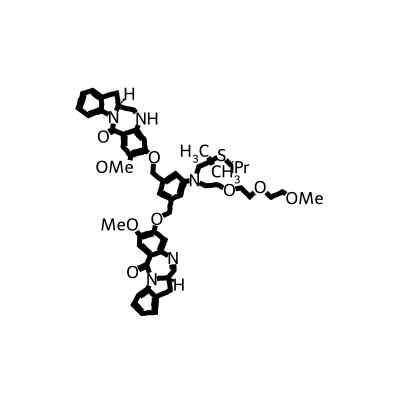 COCCOCCOCCN(CC(C)(C)SC(C)C)c1cc(COc2cc3c(cc2OC)C(=O)N2c4ccccc4C[C@H]2C=N3)cc(COc2cc3c(cc2OC)C(=O)N2c4ccccc4C[C@H]2CN3)c1